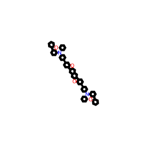 c1ccc(N(c2ccc(-c3ccc4c(c3)oc3cc5cc6c(cc5cc34)oc3cc(-c4ccc(N(c5ccccc5)c5cccc7c5oc5ccccc57)cc4)ccc36)cc2)c2cccc3c2oc2ccccc23)cc1